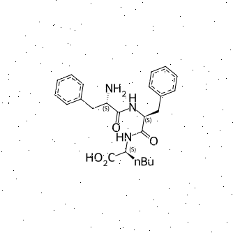 CCCC[C@H](NC(=O)[C@H](Cc1ccccc1)NC(=O)[C@@H](N)Cc1ccccc1)C(=O)O